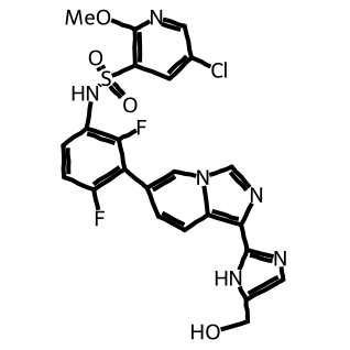 COc1ncc(Cl)cc1S(=O)(=O)Nc1ccc(F)c(-c2ccc3c(-c4ncc(CO)[nH]4)ncn3c2)c1F